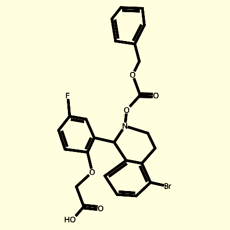 O=C(O)COc1ccc(F)cc1C1c2cccc(Br)c2CCN1OC(=O)OCc1ccccc1